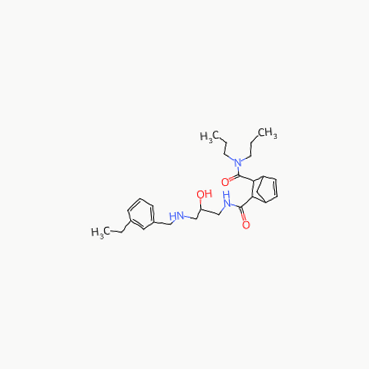 CCCN(CCC)C(=O)C1C2C=CC(C2)C1C(=O)NCC(O)CNCc1cccc(CC)c1